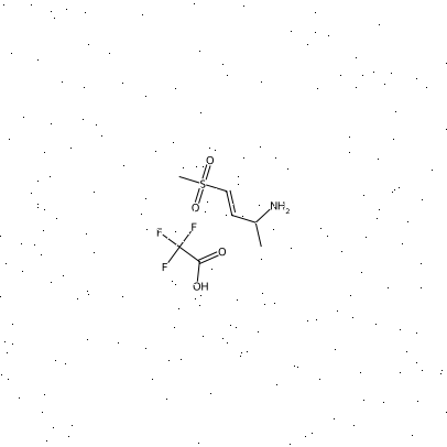 CC(N)/C=C/S(C)(=O)=O.O=C(O)C(F)(F)F